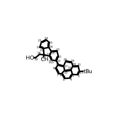 CC(C)(C)c1cc2ccc3ccc(-c4ccc5c(c4)C(C)(CCO)c4ccccc4-5)c4ccc(c1)c2c34